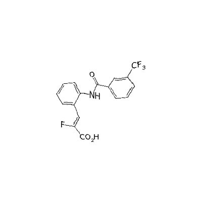 O=C(O)C(F)=Cc1ccccc1NC(=O)c1cccc(C(F)(F)F)c1